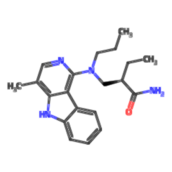 CCCN(C[C@@H](CC)C(N)=O)c1ncc(C)c2[nH]c3ccccc3c12